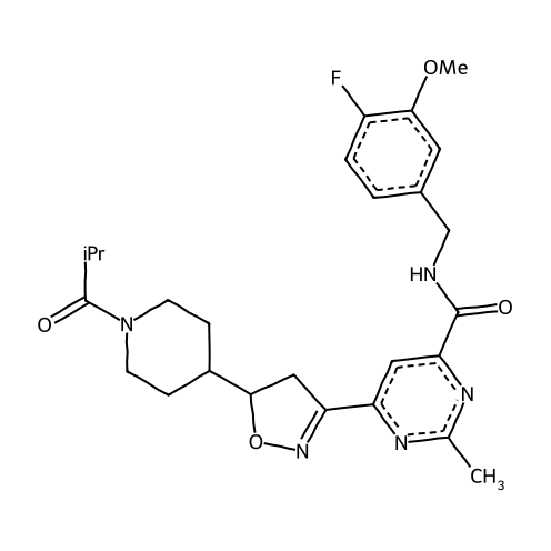 COc1cc(CNC(=O)c2cc(C3=NOC(C4CCN(C(=O)C(C)C)CC4)C3)nc(C)n2)ccc1F